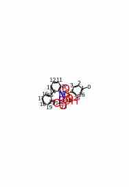 Cc1ccc(S(=O)(=O)N2c3ccccc3-c3ccccc3OP2(=O)O)cc1